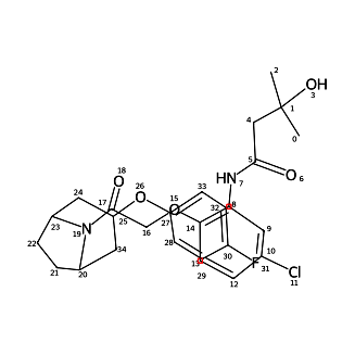 CC(C)(O)CC(=O)Nc1cc(Cl)ccc1OCC(=O)N1C2CCC1CC(Oc1ccc(F)cc1)C2